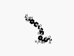 CN/C=N\C(=N)c1ccc(C2=CCN(C(=O)CN3CC[C@]4(CCN(c5ccc(N)c(C(=N)c6ccc(C(=O)NC)nc6)c5)C4=O)C3)CC2)cc1